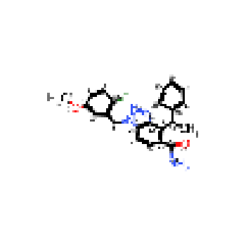 COc1ccc(Cl)c(Cn2nnc3c(C(C)c4ccccc4)c(C(N)=O)ccc32)c1